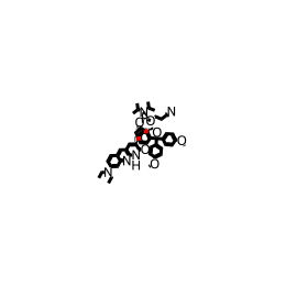 CCN(CC)c1ccc2cc3cc([C@H]4C[C@@H](OP(OCCC#N)N(C(C)C)C(C)C)[C@@H](COC(c5ccccc5)(c5ccc(OC)cc5)c5ccc(OC)cc5)O4)c(=O)[nH]c3nc2c1